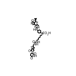 Cn1ncc(-c2nc(NC3CCC(N(CCCCCCNC(=O)NCc4cc5c(s4)C(=O)N(C4CCC(=O)NC4=O)C5)C(=O)O)CC3)ncc2F)c1CC1CC1